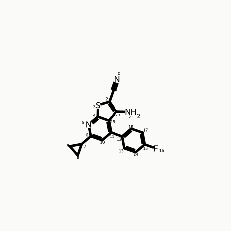 N#Cc1sc2nc(C3CC3)cc(-c3ccc(F)cc3)c2c1N